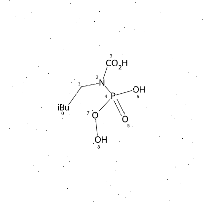 CCC(C)CN(C(=O)O)P(=O)(O)OO